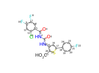 O=C(NC(=O)c1cc(F)c(F)cc1Cl)Nc1cc(-c2ccc(F)cc2)sc1C(=O)O